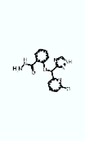 NNC(=O)c1ccccc1OC(c1cccc(Cl)n1)c1nc[nH]n1